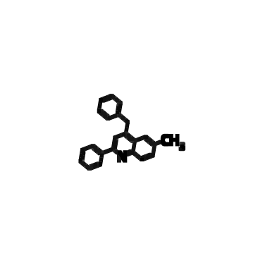 Cc1ccc2nc(-c3ccccc3)cc(Cc3ccccc3)c2c1